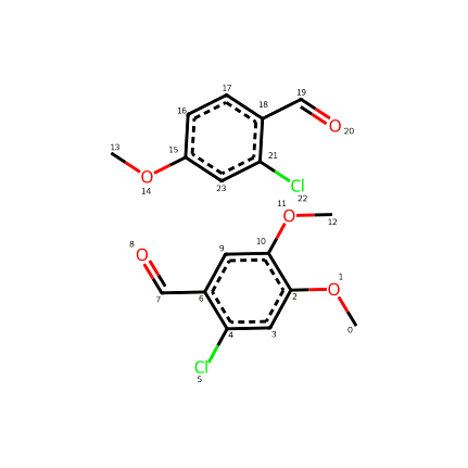 COc1cc(Cl)c(C=O)cc1OC.COc1ccc(C=O)c(Cl)c1